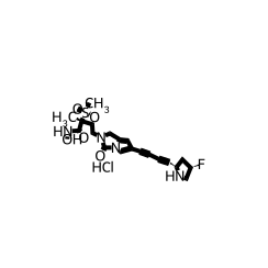 C[C@@](CCN1Cc2cc(C#CC#C[C@@H]3C[C@H](F)CN3)cn2C1=O)(C(=O)NO)S(C)(=O)=O.Cl